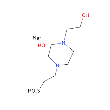 O=S(=O)(O)CCN1CCN(CCO)CC1.[Na+].[OH-]